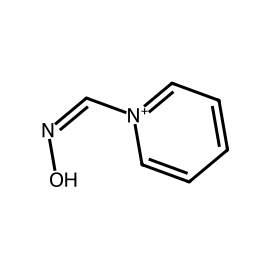 O/N=C\[n+]1ccccc1